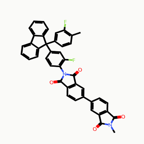 Cc1ccc(C2(c3ccc(N4C(=O)c5ccc(-c6ccc7c(c6)C(=O)N(C)C7=O)cc5C4=O)c(F)c3)c3ccccc3-c3ccccc32)cc1F